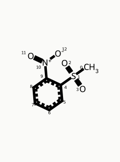 CS(=O)(=O)c1cc[c]cc1[N+](=O)[O-]